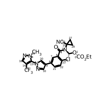 CCOC(=O)OCN(C(=O)c1cc(-c2cnn(-c3c(C(F)(F)F)[c]nn3C)c2)ccc1Cl)C1(C#N)CC1